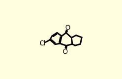 O=C1c2ccc(Cl)cc2C(=O)C2CCCCC12